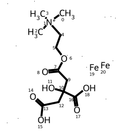 C[N+](C)(C)CCOC(=O)CC(O)(CC(=O)O)C(=O)O.[Fe].[Fe]